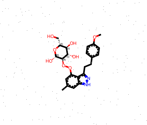 COc1ccc(CCc2n[nH]c3cc(C)cc(OO[C@@H]4[C@@H](O)[C@H](O)[C@@H](CO)O[C@H]4O)c23)cc1